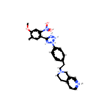 COc1cc([N+](=O)[O-])c(-c2nnn(-c3ccc(CCN4CCc5ccncc5C4)cc3)n2)cc1C